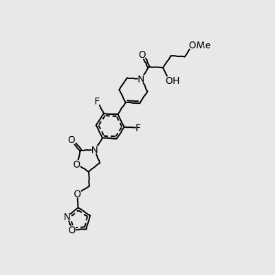 COCCC(O)C(=O)N1CC=C(c2c(F)cc(N3CC(COc4ccon4)OC3=O)cc2F)CC1